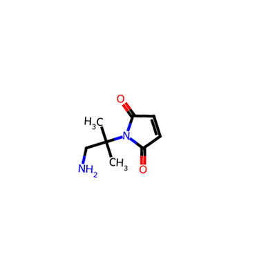 CC(C)(CN)N1C(=O)C=CC1=O